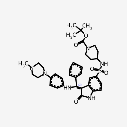 CN1CCN(c2ccc(N/C(=C3\C(=O)Nc4ccc(S(=O)(=O)NC5CCN(C(=O)OC(C)(C)C)CC5)cc43)c3ccccc3)cc2)CC1